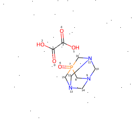 O=C(O)C(=O)O.O=P12CN3CN(CN(C3)C1)C2